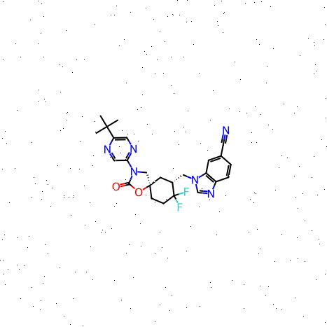 CC(C)(C)c1cnc(N2C[C@]3(CCC(F)(F)[C@@H](Cn4cnc5ccc(C#N)cc54)C3)OC2=O)cn1